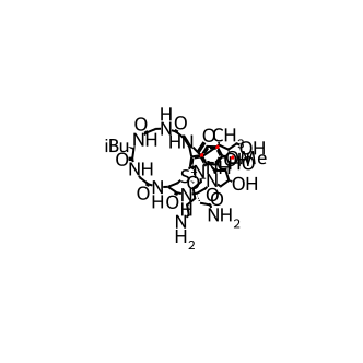 CC[C@H](C)[C@@H]1NC(=O)CNC(=O)C2Cc3c(n(CCCCCN)c4cc(OC)ccc34)[S@+]([O-])CC(NC(=O)CNC1=O)C(=O)N[C@@H](CC(N)=O)C(=O)N1C[C@H](O)C[C@]1(C=O)N[C@@H]([C@@H](C)[C@@H](O)CO)C(=O)N2